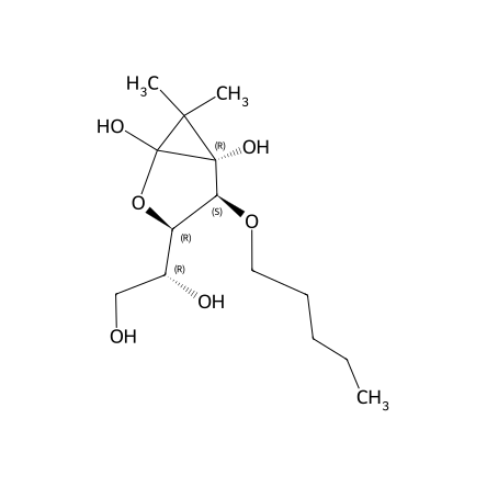 CCCCCO[C@H]1[C@@H]([C@H](O)CO)OC2(O)C(C)(C)[C@@]12O